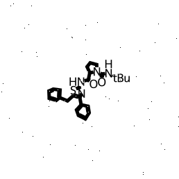 CC(C)(C)NC(=O)N1CCCC1C(=O)Nc1nc(-c2ccccc2)c(Cc2ccccc2)s1